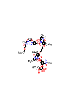 C=C1C[C@H]2C(O)N(C(=O)OCc3ccc(NC(=O)[C@H](C)NC(=O)[C@@H](NC(=O)CCOCCOC)C(C)C)cc3)c3cc(OCCCCCOc4cc5c(cc4OC)C(=O)N4CC(=C)C[C@H]4C(O)N5C(=O)OCc4ccc(O[C@@H]5O[C@H](C(=O)O)[C@@H](O)[C@H](O)[C@H]5O)c(C(=O)NC(C)(C)C)c4)c(OC)cc3C(=O)N2C1